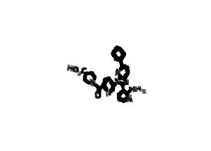 Nc1ncccc1-c1nc2ccc(-c3ccccc3)nc2n1-c1ccc(C(=O)N2CCC(C(=O)O)CC2)nc1